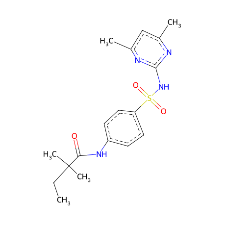 CCC(C)(C)C(=O)Nc1ccc(S(=O)(=O)Nc2nc(C)cc(C)n2)cc1